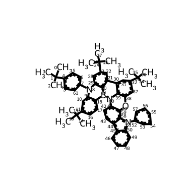 CC(C)(C)c1ccc(N2c3cc(C(C)(C)C)ccc3B3c4c(cc(C(C)(C)C)cc42)-c2cc(C(C)(C)C)cc4c2N3c2ccc3c5ccccc5n(-c5ccccc5)c3c2O4)cc1